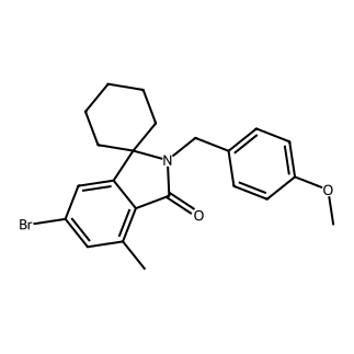 COc1ccc(CN2C(=O)c3c(C)cc(Br)cc3C23CCCCC3)cc1